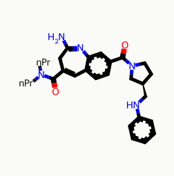 CCCN(CCC)C(=O)C1=Cc2ccc(C(=O)N3CC[C@@H](CNc4ccccc4)C3)cc2N=C(N)C1